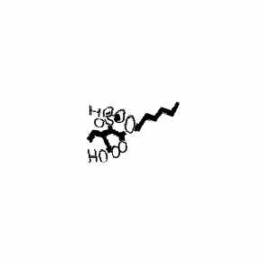 CCCCCCOC(=O)C(C(CC)C(=O)O)S(=O)(=O)O